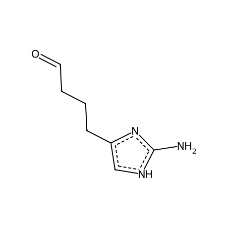 Nc1nc(CCCC=O)c[nH]1